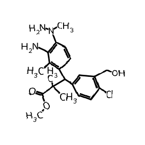 COC(=O)C(C)(C)C(c1ccc(Cl)c(CO)c1)c1ccc(N(C)N)c(N)c1C